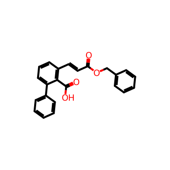 O=C(/C=C/c1cccc(-c2ccccc2)c1C(=O)O)OCc1ccccc1